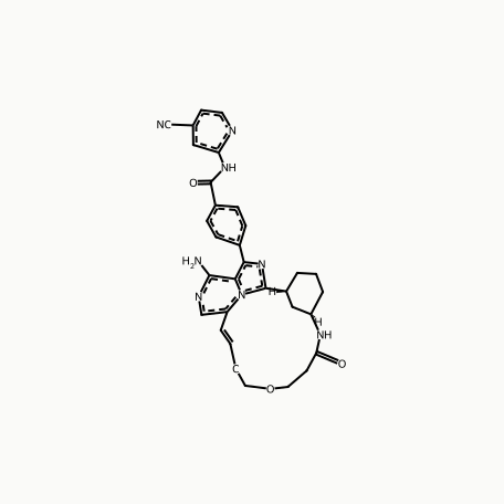 N#Cc1ccnc(NC(=O)c2ccc(-c3nc4n5c(cnc(N)c35)/C=C/CCOCCC(=O)N[C@@H]3CCC[C@@H]4C3)cc2)c1